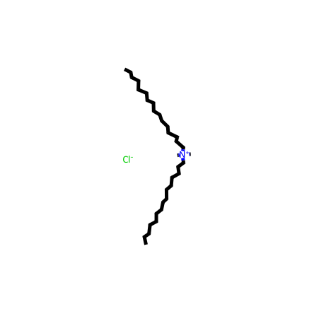 CCCCCCCCCCCCCCCC[N+](C)(C)CCCCCCCCCCCCCCC.[Cl-]